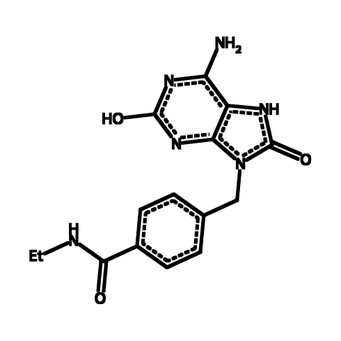 CCNC(=O)c1ccc(Cn2c(=O)[nH]c3c(N)nc(O)nc32)cc1